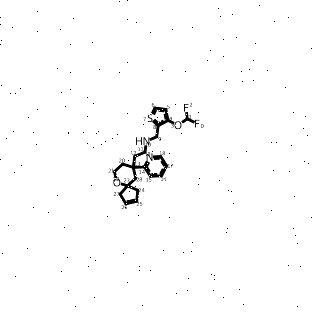 FC(F)Oc1ccsc1CNCCC1(c2ccccn2)CCOC2(CC=CC2)C1